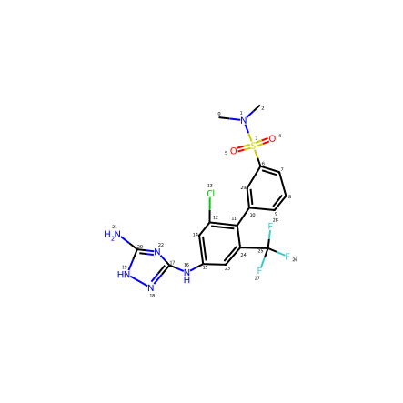 CN(C)S(=O)(=O)c1cccc(-c2c(Cl)cc(Nc3n[nH]c(N)n3)cc2C(F)(F)F)c1